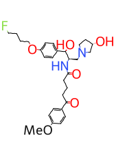 COc1ccc(C(=O)CCCC(=O)N[C@H](CN2CC[C@H](O)C2)[C@H](O)c2ccc(OCCCCF)cc2)cc1